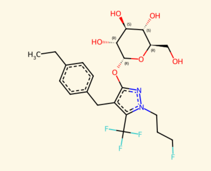 CCc1ccc(Cc2c(O[C@H]3O[C@H](CO)[C@@H](O)[C@H](O)[C@H]3O)nn(CCCF)c2C(F)(F)F)cc1